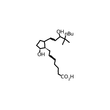 CCCCC(C)(C)C(O)C=CC1CC[C@H](O)[C@@H]1CC=CCCCC(=O)O